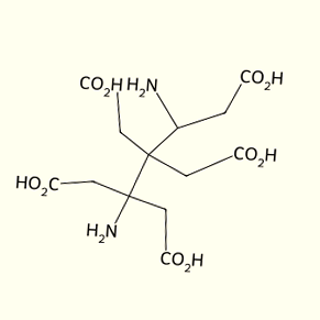 NC(CC(=O)O)C(CC(=O)O)(CC(=O)O)C(N)(CC(=O)O)CC(=O)O